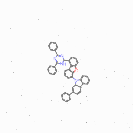 C1=CC2c3ccccc3N(c3cccc4c3oc3cccc(C5N=C(c6ccccc6)N=C(c6ccccc6)N5)c34)C2C=C1c1ccccc1